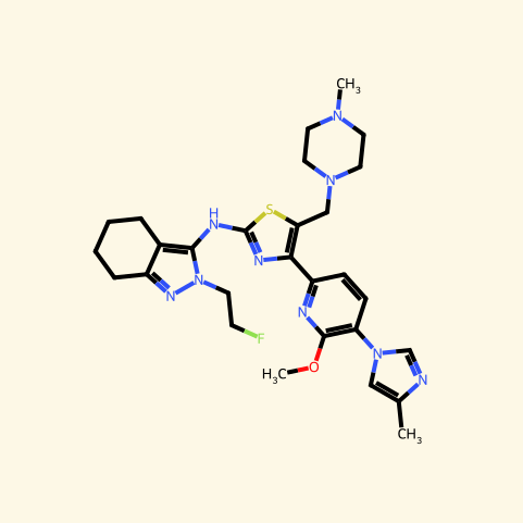 COc1nc(-c2nc(Nc3c4c(nn3CCF)CCCC4)sc2CN2CCN(C)CC2)ccc1-n1cnc(C)c1